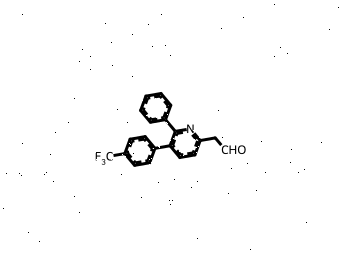 O=CCc1ccc(-c2ccc(C(F)(F)F)cc2)c(-c2ccccc2)n1